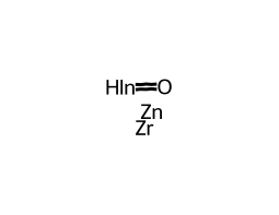 [O]=[InH].[Zn].[Zr]